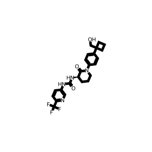 O=C(Nc1ccc(C(F)(F)F)nc1)N[C@@H]1CCCN(c2ccc(C3(CO)CCC3)cc2)C1=O